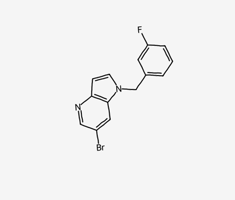 Fc1cccc(Cn2ccc3ncc(Br)cc32)c1